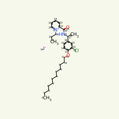 CCCCCCCCCCCCOc1ccc(C(C)NC(=O)c2cccc[n+]2CCC)cc1Cl.[I-]